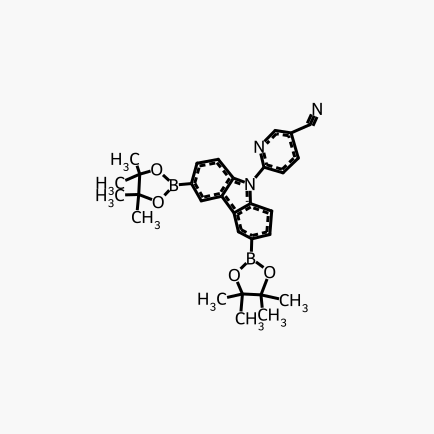 CC1(C)OB(c2ccc3c(c2)c2cc(B4OC(C)(C)C(C)(C)O4)ccc2n3-c2ccc(C#N)cn2)OC1(C)C